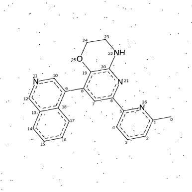 Cc1cccc(-c2cc(-c3cncc4ccccc34)c3c(n2)NCCO3)n1